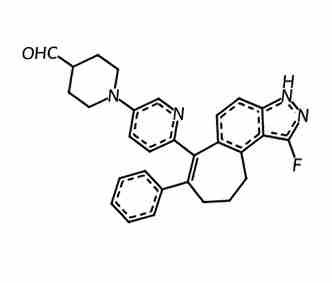 O=CC1CCN(c2ccc(C3=C(c4ccccc4)CCCc4c3ccc3[nH]nc(F)c43)nc2)CC1